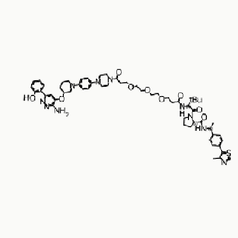 Cc1ncsc1-c1ccc([C@H](C)NC(=O)[C@@H]2CCCN2C(=O)[C@@H](NC(=O)CCOCCOCCOCCC(=O)N2CCN(c3ccc(N4CCCC(Oc5cc(-c6ccccc6O)nnc5N)C4)cc3)CC2)C(C)(C)C)cc1